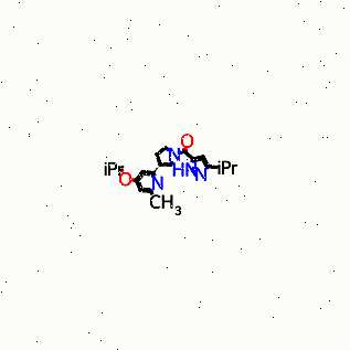 Cc1cc(OC(C)C)cc([C@@H]2CCN(C(=O)c3cc(C(C)C)n[nH]3)C2)n1